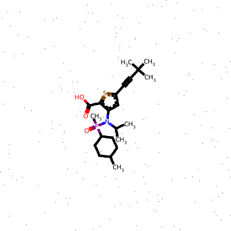 CC1CCC(P(C)(=O)N(c2cc(C#CC(C)(C)C)sc2C(=O)O)C(C)C)CC1